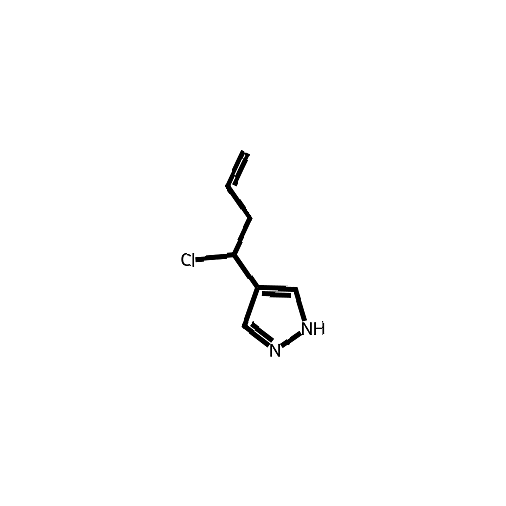 C=CCC(Cl)c1cn[nH]c1